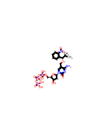 CC(C)[C@H](OCc1cn([C@H]2CC(O)[C@@H](COP(=O)(O)OP(=O)(O)OP(=O)(O)O)O2)c(=O)nc1N)c1ccccc1[N+](=O)[O-]